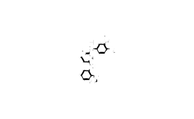 COc1ccc(Nc2nccc(Nc3cccc4c3OCO4)n2)cc1OC